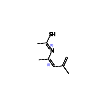 C=C(C)/C=C(C)\N=C(/C)S